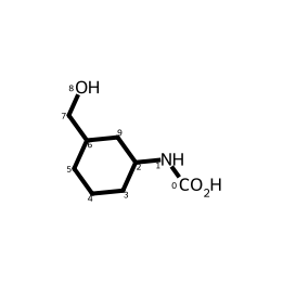 O=C(O)NC1CCCC(CO)C1